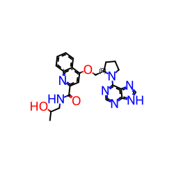 CC(O)CNC(=O)c1cc(OC[C@H]2CCCN2c2ncnc3[nH]cnc23)c2ccccc2n1